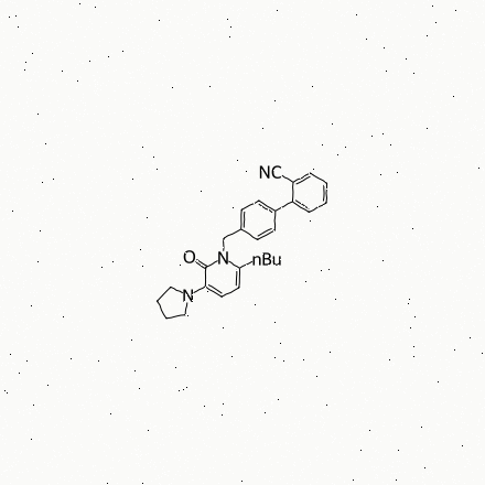 CCCCc1ccc(N2CCCC2)c(=O)n1Cc1ccc(-c2ccccc2C#N)cc1